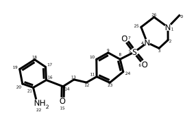 CN1CCN(S(=O)(=O)c2ccc(CCC(=O)c3ccccc3N)cc2)CC1